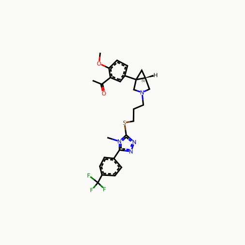 COc1ccc(C23C[C@@H]2CN(CCCSc2nnc(-c4ccc(C(F)(F)F)cc4)n2C)C3)cc1C(C)=O